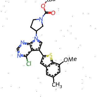 COc1cc(C)cc2cc(-c3cn(C4CCN(C(=O)OC(C)(C)C)C4)c4ncnc(Cl)c34)sc12